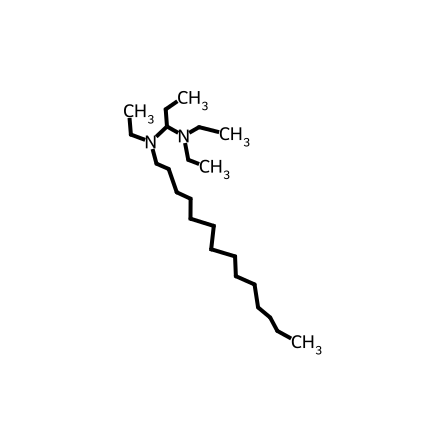 CCCCCCCCCCCCCCN(CC)C(CC)N(CC)CC